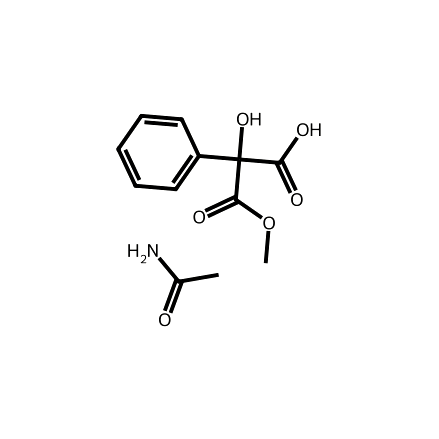 CC(N)=O.COC(=O)C(O)(C(=O)O)c1ccccc1